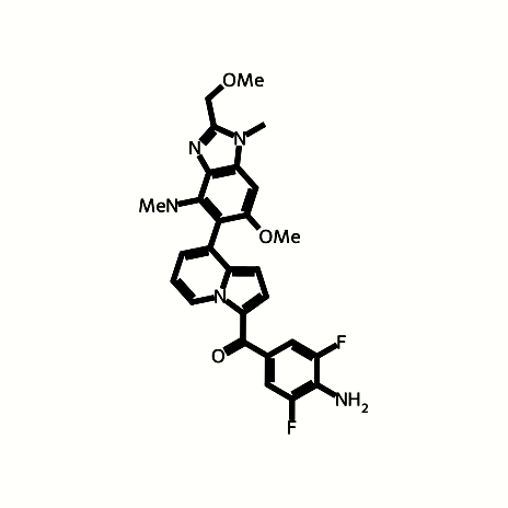 CNc1c(-c2cccn3c(C(=O)c4cc(F)c(N)c(F)c4)ccc23)c(OC)cc2c1nc(COC)n2C